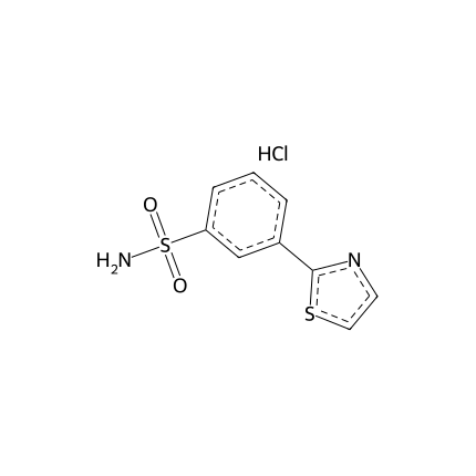 Cl.NS(=O)(=O)c1cccc(-c2nccs2)c1